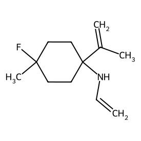 C=CNC1(C(=C)C)CCC(C)(F)CC1